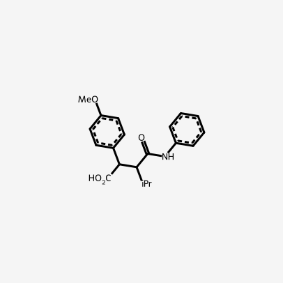 COc1ccc(C(C(=O)O)C(C(=O)Nc2ccccc2)C(C)C)cc1